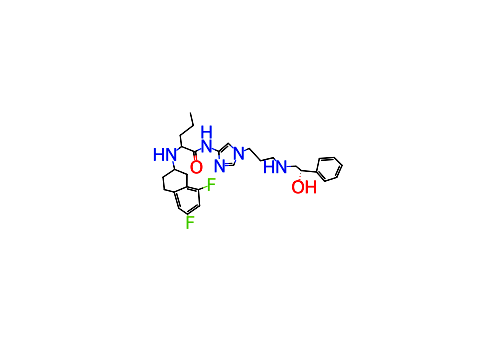 CCCC(NC1CCc2cc(F)cc(F)c2C1)C(=O)Nc1cn(CCCNC[C@@H](O)c2ccccc2)cn1